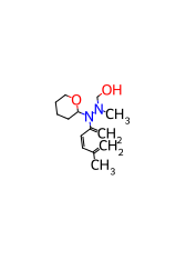 C=C(C)/C=C\C(=C)N(C1CCCCO1)N(C)CO